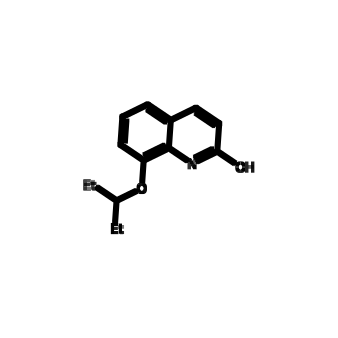 CCC(CC)Oc1cccc2ccc(O)nc12